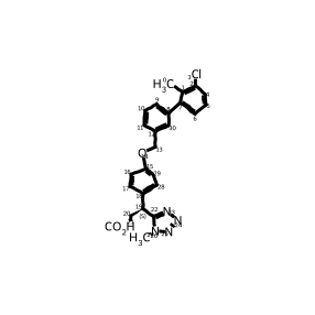 Cc1c(Cl)cccc1-c1cccc(COc2ccc([C@H](CC(=O)O)c3nnnn3C)cc2)c1